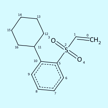 C=CS(=O)(=O)c1ccccc1C1CCCCC1